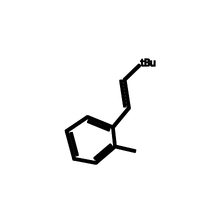 Cc1ccccc1C=CC(C)(C)C